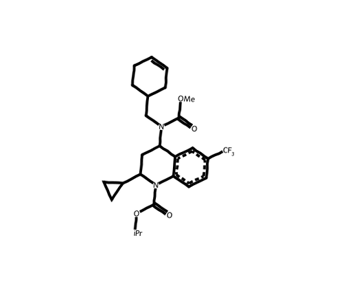 COC(=O)N(CC1CC=CCC1)C1CC(C2CC2)N(C(=O)OC(C)C)c2ccc(C(F)(F)F)cc21